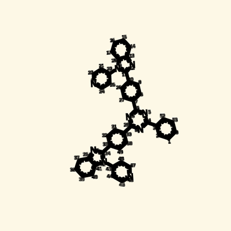 c1ccc(-c2nc(-c3ccc(-c4nc5ccccc5n4-c4ccncc4)cc3)nc(-c3ccc(-c4nc5ccccc5n4-c4ccncc4)cc3)n2)cc1